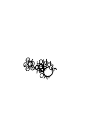 CC[C@H]1CCC[C@H](C)[C@@H](C)C(=O)C2=C[C@H]3[C@@H]4C[C@H](O[C@@H]5OC(C)[C@H](OC)C(OC)C5OC)C[C@H]4[C@@H](O)[C@H](N)[C@H]3[C@@H]2CC(=O)O1